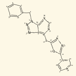 c1ccc(Cn2nnc3c(Sc4nnc(-c5ccncc5)o4)ncnc32)cc1